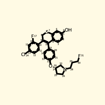 Oc1ccc2c(c1)SCC(c1ccc(Cl)cc1F)=C2c1ccc(O[C@H]2CCN(CCCF)C2)cc1